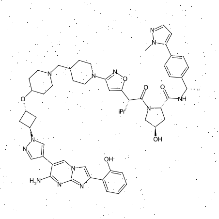 CC(C)[C@@H](C(=O)N1C[C@H](O)C[C@H]1C(=O)N[C@@H](C)c1ccc(-c2ccnn2C)cc1)c1cc(N2CCC(CN3CCC(O[C@H]4C[C@H](n5cc(-c6cn7cc(-c8ccccc8O)nc7nc6N)cn5)C4)CC3)CC2)no1